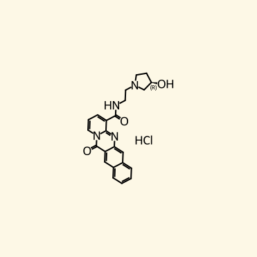 Cl.O=C(NCCN1CC[C@@H](O)C1)c1cccn2c(=O)c3cc4ccccc4cc3nc12